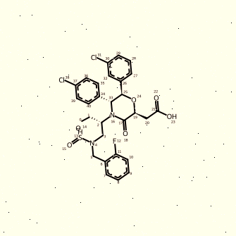 CC[C@@H](CN(Cc1ccccc1F)[SH](=O)=O)N1C(=O)[C@H](CC(=O)O)O[C@H](c2cccc(Cl)c2)[C@H]1c1ccc(Cl)cc1